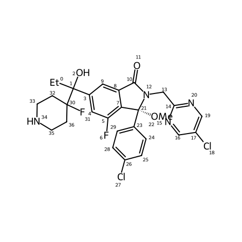 CCC(O)(c1cc(F)c2c(c1)C(=O)N(Cc1ncc(Cl)cn1)[C@@]2(OC)c1ccc(Cl)cc1)C1(F)CCNCC1